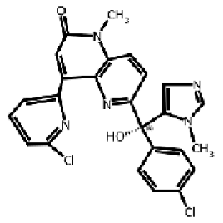 Cn1cncc1[C@@](O)(c1ccc(Cl)cc1)c1ccc2c(n1)c(-c1cccc(Cl)n1)cc(=O)n2C